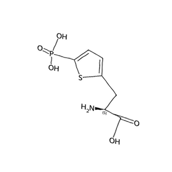 N[C@@H](Cc1ccc(P(=O)(O)O)s1)C(=O)O